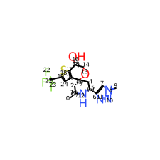 C[C@H]1C[C@@]2(C[C@@H](c3cn(C)nn3)N1)OC[C@@H](O)c1sc(C(F)(F)F)cc12